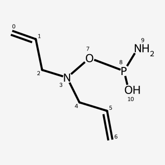 C=CCN(CC=C)OP(N)O